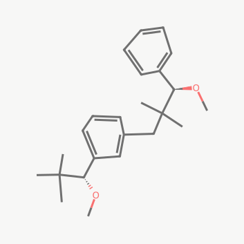 CO[C@H](c1ccccc1)C(C)(C)Cc1cccc([C@H](OC)C(C)(C)C)c1